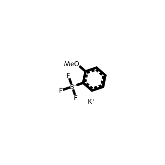 COc1ccccc1[B-](F)(F)F.[K+]